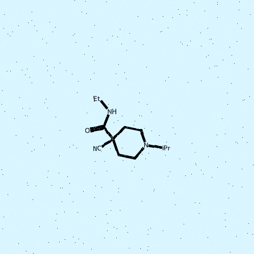 CCNC(=O)C1(C#N)CCN(C(C)C)CC1